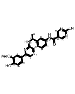 COc1cc(-c2cncc(NC(C)c3cccc(NC(=O)c4cnc(C#N)nc4)c3)n2)ccc1O